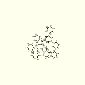 c1ccc(-c2cccc(-c3cc(-c4ccccc4)nc(-n4c5ccccc5c5c6c7ccccc7c7ccccc7c6c6c7ccccc7sc6c54)n3)c2)cc1